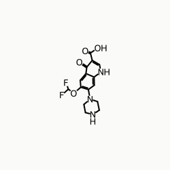 O=C(O)c1c[nH]c2cc(N3CCNCC3)c(OC(F)F)cc2c1=O